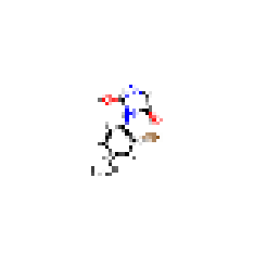 O=C1CNC(=O)N1c1ccc(C(F)(F)F)cc1S